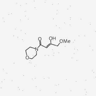 COC/C(O)=C/C(=O)N1CCOCC1